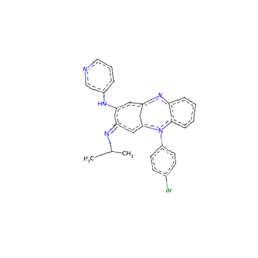 CC(C)/N=c1\cc2n(-c3ccc(Br)cc3)c3ccccc3nc-2cc1Nc1cccnc1